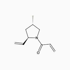 C=CC(=O)N1C[C@@H](C)C[C@@H]1C=C